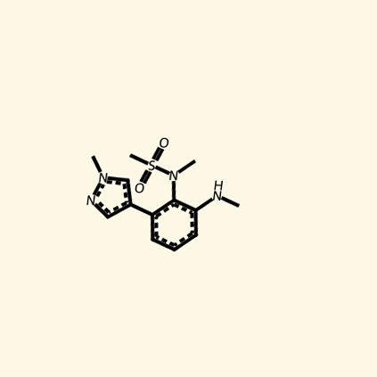 CNc1cccc(-c2cnn(C)c2)c1N(C)S(C)(=O)=O